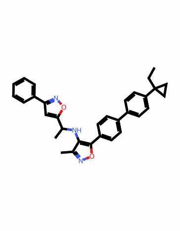 CCC1(c2ccc(-c3ccc(-c4onc(C)c4NC(C)c4cc(-c5ccccc5)no4)cc3)cc2)CC1